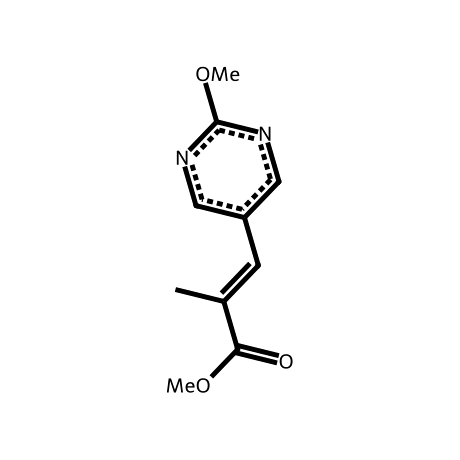 COC(=O)/C(C)=C/c1cnc(OC)nc1